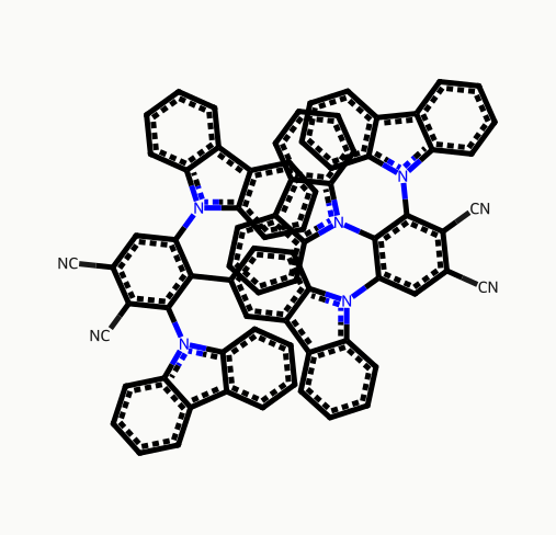 N#Cc1cc(-n2c3ccccc3c3ccccc32)c(-c2ccc3c(c2)c2ccccc2n3-c2cc(C#N)c(C#N)c(-n3c4ccccc4c4ccccc43)c2-n2c3ccccc3c3ccccc32)c(-n2c3ccccc3c3ccccc32)c1C#N